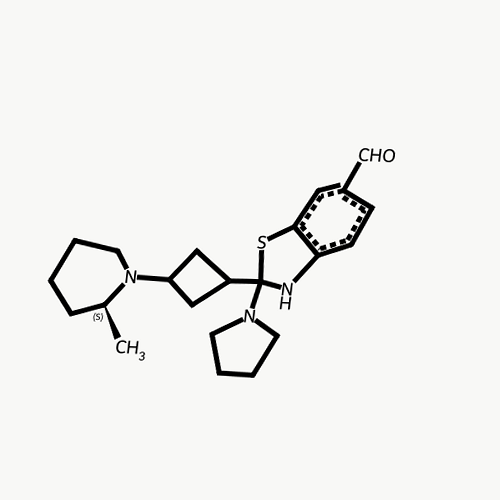 C[C@H]1CCCCN1C1CC(C2(N3CCCC3)Nc3ccc(C=O)cc3S2)C1